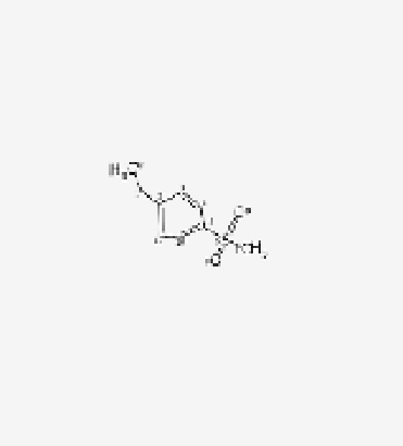 CCc1ccc(S(C)(=O)=O)cc1